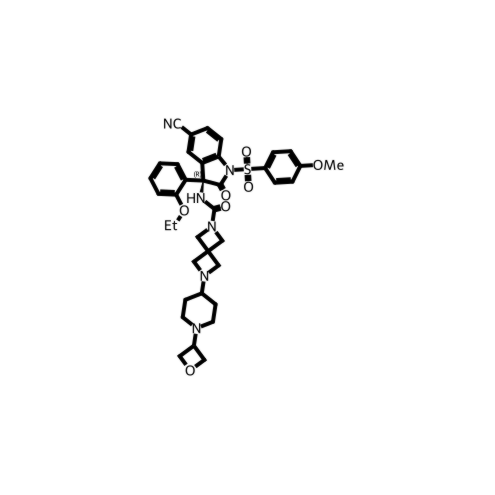 CCOc1ccccc1[C@@]1(NC(=O)N2CC3(C2)CN(C2CCN(C4COC4)CC2)C3)C(=O)N(S(=O)(=O)c2ccc(OC)cc2)c2ccc(C#N)cc21